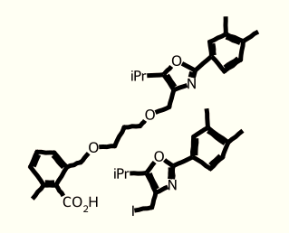 Cc1ccc(-c2nc(CI)c(C(C)C)o2)cc1C.Cc1ccc(-c2nc(COCCCOCc3cccc(C)c3C(=O)O)c(C(C)C)o2)cc1C